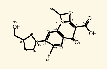 CC1Sc2c(C(=O)O)c(=O)c3cc(F)c(N4CCC(CO)C4)cc3n21